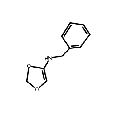 C1=C(NCc2ccccc2)OCO1